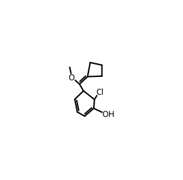 COC(=C1CCC1)C1C=CC=C(O)C1Cl